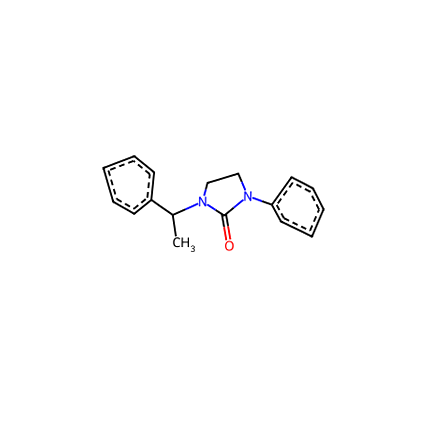 CC(c1ccccc1)N1CCN(c2ccccc2)C1=O